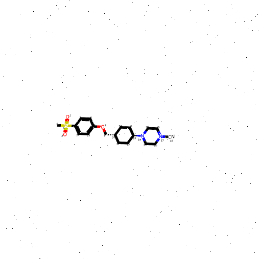 CS(=O)(=O)c1ccc(OC[C@H]2CC[C@H](N3CCN(C#N)CC3)CC2)cc1